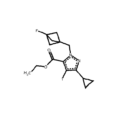 CCOC(=O)c1c(I)c(C2CC2)nn1CC12CC(F)(C1)C2